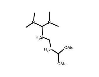 COC(OC)[SiH2]C[SiH2]C(N(C)C)N(C)C